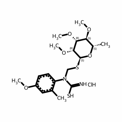 COc1ccc(N(CS[C@@H]2O[C@@H](C)[C@H](OC)[C@@H](OC)[C@H]2OC)C(=N)S)c(C)c1.Cl